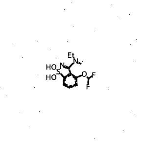 CCN(C)C1=NS(O)(O)c2cccc(OC(F)F)c21